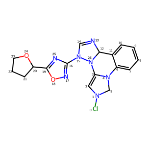 ClN1C=C2N(C1)c1ccccc1C1N=CN(c3noc(C4CCCO4)n3)N21